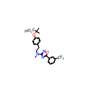 CN(CCc1ccc(OC(C)(C)C(=O)O)cc1)c1noc(-c2cccc(C(F)(F)F)c2)n1